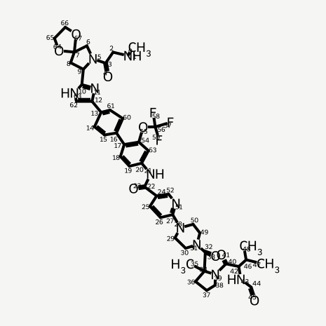 CNCC(=O)N1CC2(CC1c1nc(-c3ccc(-c4ccc(NC(=O)c5ccc(N6CCN(C(=O)C7(C)CCCN7C(=O)C(NC=O)C(C)C)CC6)nc5)cc4OC(F)(F)F)cc3)c[nH]1)OCCO2